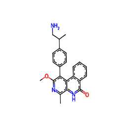 COc1nc(C)c2[nH]c(=O)c3ccccc3c2c1-c1ccc(C(C)CN)cc1